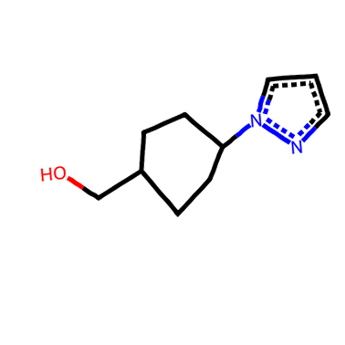 OCC1CCC(n2cccn2)CC1